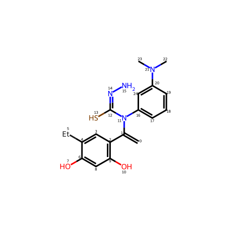 C=C(c1cc(CC)c(O)cc1O)N(/C(S)=N\N)c1cccc(N(C)C)c1